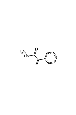 NNC(=O)C(=O)c1ccccc1